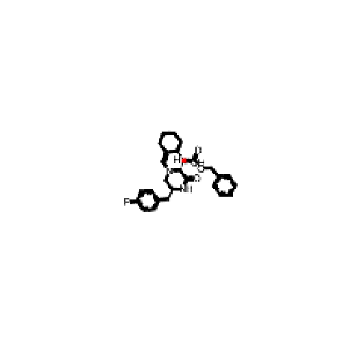 O=C(N[C@@H]1CCCC/C1=C/N1C[C@H](Cc2ccc(F)cc2)NC(=O)[C@@H]1CO)OCc1ccccc1